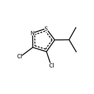 CC(C)c1snc(Cl)c1Cl